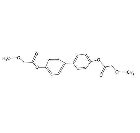 COCC(=O)Oc1ccc(-c2ccc(OC(=O)COC)cc2)cc1